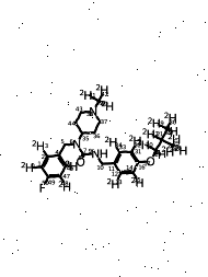 [2H]c1c([2H])c(CN(C(=O)NCc2c([2H])c([2H])c(OC([2H])([2H])C([2H])(C([2H])([2H])[2H])C([2H])([2H])[2H])c([2H])c2[2H])C2CCN(C([2H])([2H])[2H])CC2)c([2H])c([2H])c1F